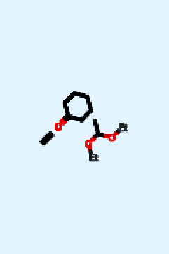 C=C.CCOC(C)OCC.O=C1CCCCC1